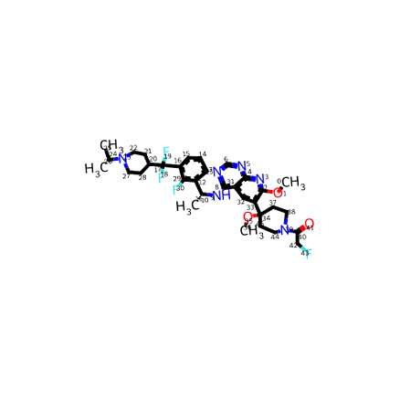 COc1nc2ncnc(N[C@H](C)c3cccc(C(F)(F)C4CCN(C(C)C)CC4)c3F)c2cc1C1(OC)CCN(C(=O)CF)CC1